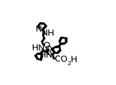 O=C(O)CC(NC(=O)[C@H](NC(=O)CCCNc1ccccn1)c1ccccc1)c1ccc(-c2ccccc2)cc1